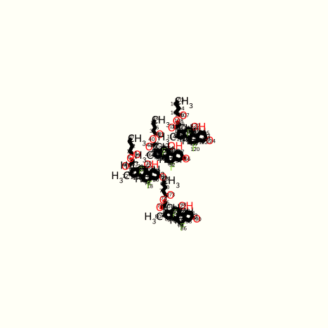 CCCCC(=O)OCC(=O)[C@H]1[C@H](C)C[C@H]2[C@@H]3C[C@H](F)C4=CC(=O)C=C[C@]4(C)[C@@]3(F)[C@@H](O)C[C@@]21C.CCCCC(=O)OCC(=O)[C@H]1[C@H](C)C[C@H]2[C@@H]3C[C@H](F)C4=CC(=O)C=C[C@]4(C)[C@@]3(F)[C@@H](O)C[C@@]21C.CCCCC(=O)OCC(=O)[C@H]1[C@H](C)C[C@H]2[C@@H]3C[C@H](F)C4=CC(=O)C=C[C@]4(C)[C@@]3(F)[C@@H](O)C[C@@]21C.CCCCC(=O)OCC(=O)[C@H]1[C@H](C)C[C@H]2[C@@H]3C[C@H](F)C4=CC(=O)C=C[C@]4(C)[C@@]3(F)[C@@H](O)C[C@@]21C